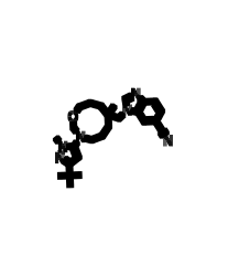 Cn1nc(C(C)(C)C)cc1N1CCCC(C)(Cn2cnc3ccc(C#N)cc32)CCCOC1